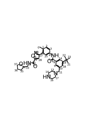 Cc1ccc(NC(=O)c2cc(CN3CCNCC3)cc(C(C)(C)C)c2)cc1-c1cc(C(=O)NCC2CCCO2)on1